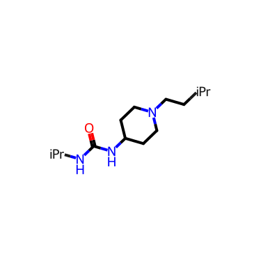 CC(C)CCN1CCC(NC(=O)NC(C)C)CC1